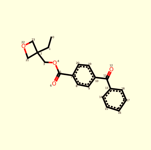 CCC1(COC(=O)c2ccc(C(=O)c3ccccc3)cc2)COC1